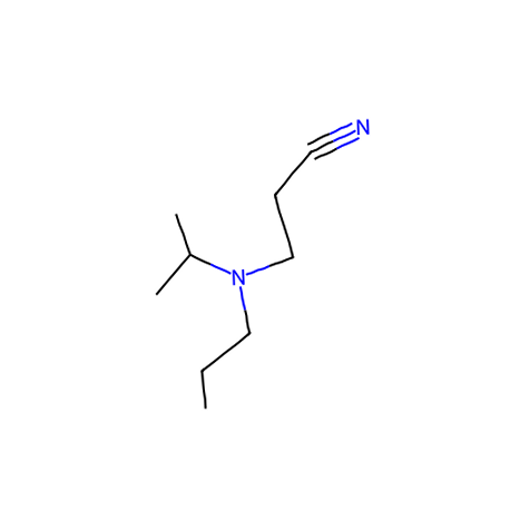 CCCN(CCC#N)C(C)C